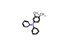 Cc1ccc(N(c2ccccc2)C2C=CC=CC2)cc1C